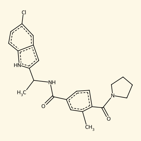 Cc1cc(C(=O)NC(C)c2cc3cc(Cl)ccc3[nH]2)ccc1C(=O)N1CCCC1